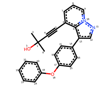 CC(C)(O)C#Cc1cccn2ncc(-c3ccc(Oc4ccccc4)cc3)c12